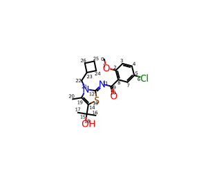 COc1ccc(Cl)cc1C(=O)N=c1sc(C(C)(C)O)c(C)n1CC1CCC1